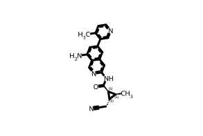 Cc1ccncc1-c1cc(N)c2cnc(NC(=O)[C@H]3[C@@H](C)[C@@H]3CC#N)cc2c1